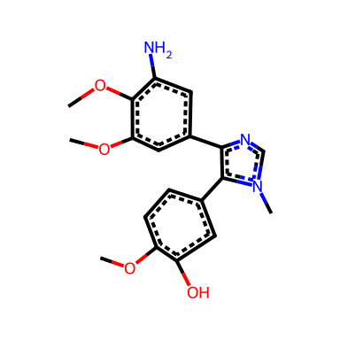 COc1ccc(-c2c(-c3cc(N)c(OC)c(OC)c3)ncn2C)cc1O